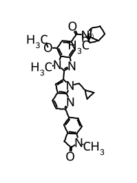 COc1cc(C(=O)N2CC3CCC2[C@@H]3C)cc2nc(-c3cc4ccc(-c5ccc6c(c5)CC(=O)N6C)nc4n3CC3CC3)n(C)c12